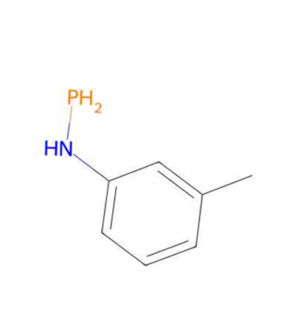 Cc1cccc(NP)c1